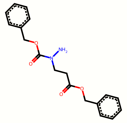 NN(CCC(=O)OCc1ccccc1)C(=O)OCc1ccccc1